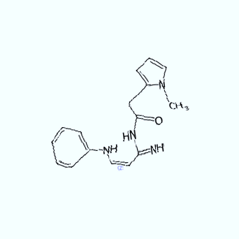 Cn1cccc1CC(=O)NC(=N)/C=C\Nc1ccccc1